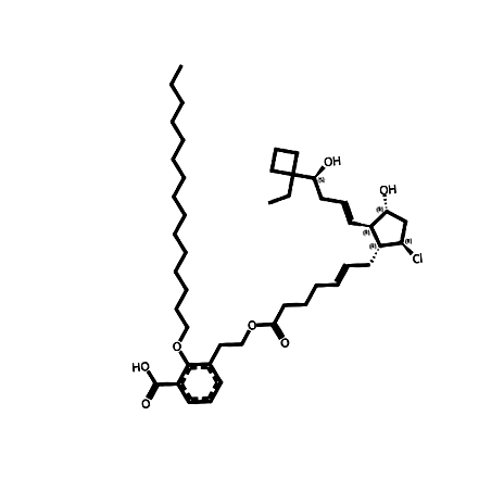 CCCCCCCCCCCCCCCOc1c(CCOC(=O)CCCC=CC[C@@H]2[C@@H](C=CC[C@H](O)C3(CC)CCC3)[C@H](O)C[C@H]2Cl)cccc1C(=O)O